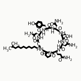 CC(C)CCCCCCCCC[C@@H]1CC(=O)N[C@H](CC(N)=O)C(=O)N[C@H](Cc2ccc(O)cc2)C(=O)N[C@H](CC(N)=O)C(=O)N[C@@H](CO)C(=O)N[C@@H](CC(N)=O)C(=O)N[C@@H](CCC(N)=O)C(=O)N2CCC[C@@H]2C(=O)N1